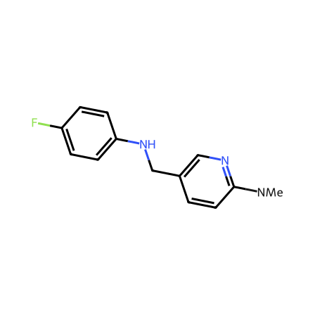 CNc1ccc(CNc2ccc(F)cc2)cn1